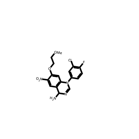 COCCOc1cc2c(cc1[N+](=O)[O-])C(N)N=CN2c1ccc(F)c(Cl)c1